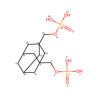 O=P(O)(O)OCC12CC3CC(C1)CC(COP(=O)(O)O)(C3)C2